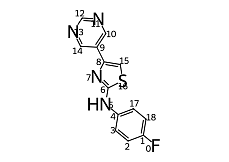 Fc1ccc(Nc2nc(-c3cncnc3)cs2)cc1